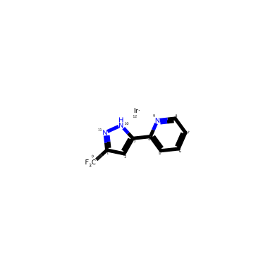 FC(F)(F)c1cc(-c2ccccn2)[nH]n1.[Ir]